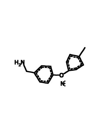 Cc1ccc(Oc2ccc(CN)cc2)cc1.[N]